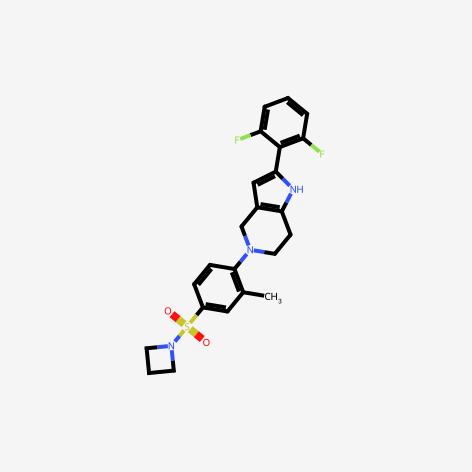 Cc1cc(S(=O)(=O)N2CCC2)ccc1N1CCc2[nH]c(-c3c(F)cccc3F)cc2C1